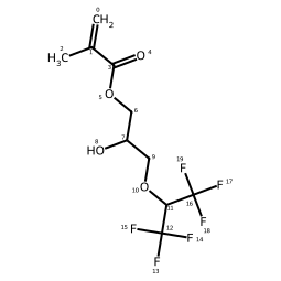 C=C(C)C(=O)OCC(O)COC(C(F)(F)F)C(F)(F)F